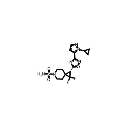 NS(=O)(=O)N1CCC2(CC1)[C@H](c1nc(-c3ccnn3C3CC3)no1)C2(F)F